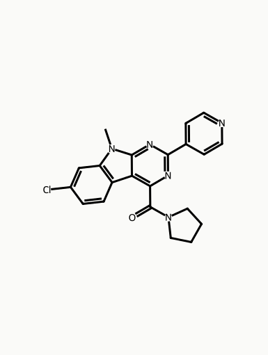 Cn1c2cc(Cl)ccc2c2c(C(=O)N3CCCC3)nc(-c3ccncc3)nc21